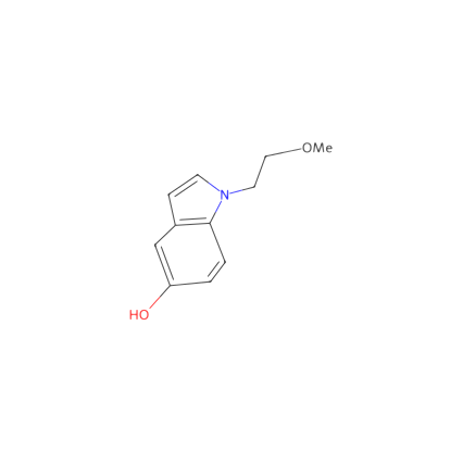 COCCn1ccc2cc(O)ccc21